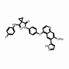 COc1cc2nccc(Oc3ccc(NC(=O)C4(C(=O)Nc5ccc(F)cc5)CC4)cc3)c2cc1-c1ccn[nH]1